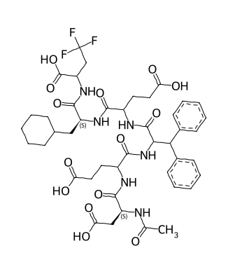 CC(=O)N[C@@H](CC(=O)O)C(=O)NC(CCC(=O)O)C(=O)NC(C(=O)NC(CCC(=O)O)C(=O)N[C@@H](CC1CCCCC1)C(=O)NC(CC(F)(F)F)C(=O)O)C(c1ccccc1)c1ccccc1